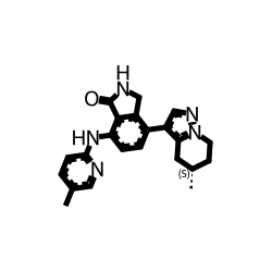 Cc1ccc(Nc2ccc(-c3cnn4c3C[C@@H](C)CC4)c3c2C(=O)NC3)nc1